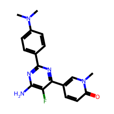 CN(C)c1ccc(-c2nc(N)c(F)c(-c3ccc(=O)n(C)c3)n2)cc1